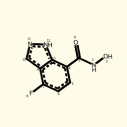 O=C(NO)c1ccc(F)c2cn[nH]c12